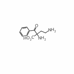 NCCC(N)(C(=O)O)C(=O)c1ccccc1